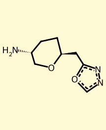 N[C@@H]1CC[C@@H](Cc2nnco2)OC1